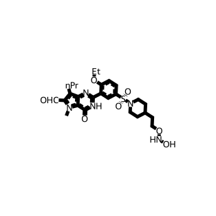 CCCc1c(C=O)n(C)c2c(=O)[nH]c(-c3cc(S(=O)(=O)N4CCC(CCONO)CC4)ccc3OCC)nc12